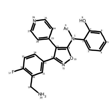 CC(=O)N(c1ccccc1O)c1onc(-c2ccc(F)c(CN)c2)c1-c1ccncc1